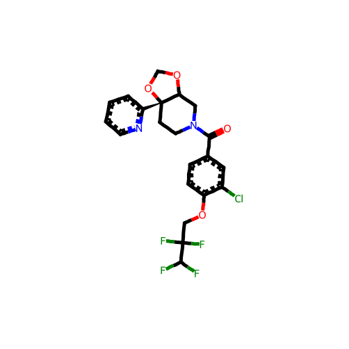 O=C(c1ccc(OCC(F)(F)C(F)F)c(Cl)c1)N1CC[C@]2(c3ccccn3)OCOC2C1